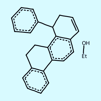 C1=Cc2ccc3c(c2C(c2ccccc2)C1)CCc1ccccc1-3.CCO